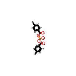 Cc1ccc(C(=O)OS(=O)OC(=O)c2ccc(C)cc2)cc1